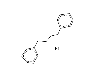 [Hf].c1ccc(CCCCc2ccccc2)cc1